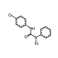 CCN(C(=O)Nc1ccc(Cl)cc1)c1ccccc1